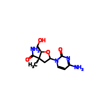 C[C@]1(C(N)=O)CC(n2ccc(N)nc2=O)O[C@@H]1CO